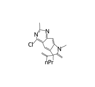 C=C(CCC)C1(C)C(=C)N(C)c2cc3nc(C)nc(Cl)c3cc21